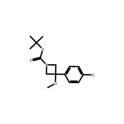 COC1(c2ccc(Cl)cc2)CN(C(=O)OC(C)(C)C)C1